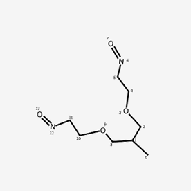 CC(COCCN=O)COCCN=O